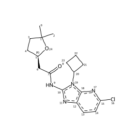 CC1(C)CC[C@H](CC(=O)Nc2nc3ccc(Cl)nc3n2C2CCC2)O1